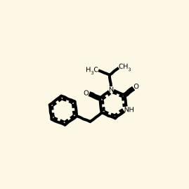 CC(C)n1c(=O)[nH]cc(Cc2ccccc2)c1=O